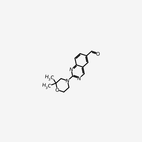 CC1(C)CN(c2ncc3cc(C=O)ccc3n2)CCO1